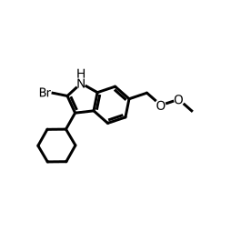 COOCc1ccc2c(C3CCCCC3)c(Br)[nH]c2c1